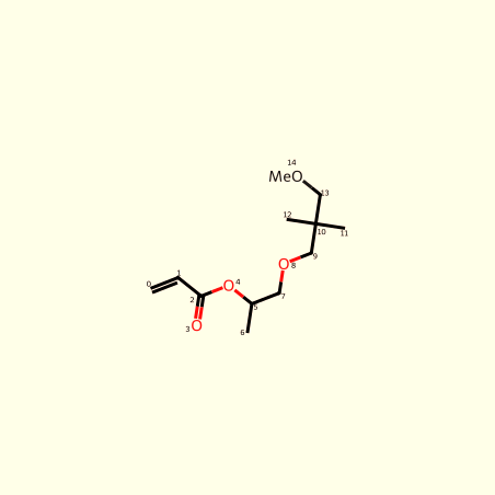 C=CC(=O)OC(C)COCC(C)(C)COC